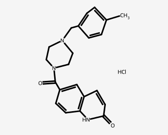 Cc1ccc(CN2CCN(C(=O)c3ccc4[nH]c(=O)ccc4c3)CC2)cc1.Cl